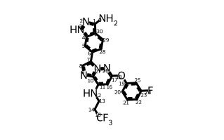 Nc1n[nH]c2cc(-c3cnc4c(NCCC(F)(F)F)cc(Oc5cccc(F)c5)nn34)ccc12